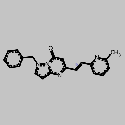 Cc1cccc(/C=C/c2cc(=O)n3c(ccn3Cc3ccccc3)n2)n1